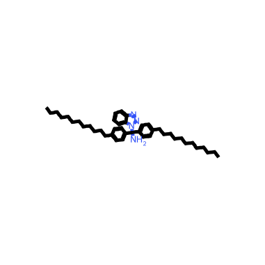 CCCCCCCCCCCCc1ccc(C(N)(c2ccc(CCCCCCCCCCCC)cc2)n2nnc3ccccc32)cc1